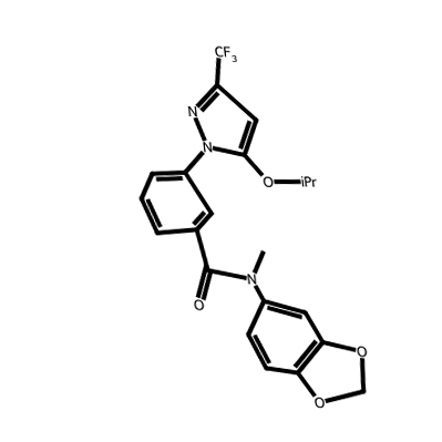 CC(C)Oc1cc(C(F)(F)F)nn1-c1cccc(C(=O)N(C)c2ccc3c(c2)OCO3)c1